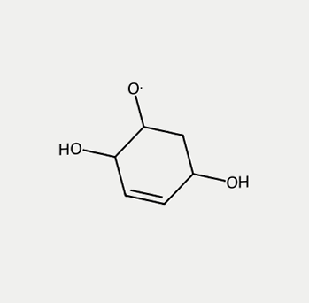 [O]C1CC(O)C=CC1O